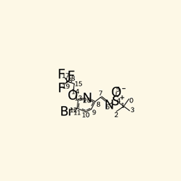 CC(C)(C)[S+]([O-])N=Cc1ccc(Br)c(OCC(F)(F)F)n1